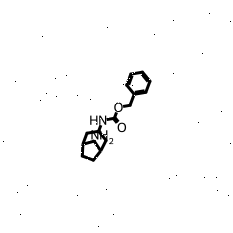 NC1C2CCC1CC(NC(=O)OCc1ccccc1)C2